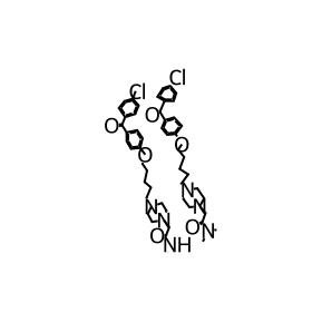 CN(C)C(=O)CN1CCN(CCCCCOc2ccc(C(=O)c3ccc(Cl)cc3)cc2)CC1.CNC(=O)CN1CCN(CCCCCOc2ccc(C(=O)c3ccc(Cl)cc3)cc2)CC1